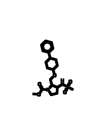 COC(=O)N1CCC(NS(C)(=O)=O)C1COC1CCC(c2ccccc2)CC1